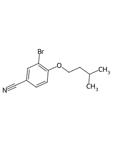 CC(C)CCOc1ccc(C#N)cc1Br